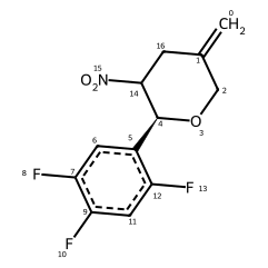 C=C1CO[C@@H](c2cc(F)c(F)cc2F)C([N+](=O)[O-])C1